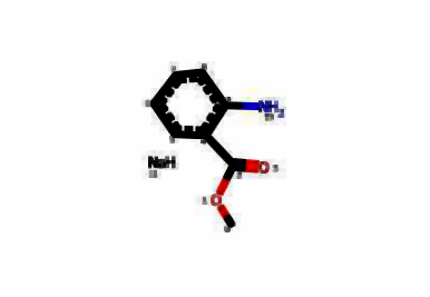 COC(=O)c1ccccc1N.[NaH]